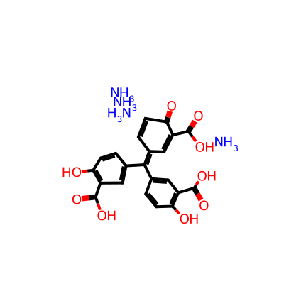 N.N.N.N.O=C(O)C1=CC(=C(c2ccc(O)c(C(=O)O)c2)c2ccc(O)c(C(=O)O)c2)C=CC1=O